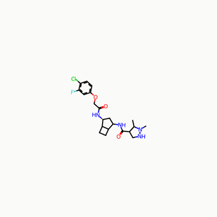 CC1C(C(=O)NC2C[C@H](NC(=O)COc3ccc(Cl)c(F)c3)C3CCC23)CNN1C